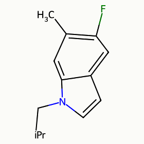 Cc1cc2c(ccn2CC(C)C)cc1F